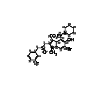 CCOC(=O)c1c(C[S+]([O-])Cc2cccc(F)c2)n(C)c2cc(Br)c(O)c(CN3CCCCC3)c12